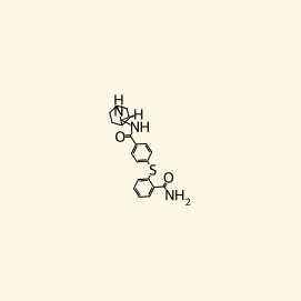 NC(=O)c1ccccc1Sc1ccc(C(=O)N[C@H]2NC3CCC2CC3)cc1